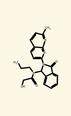 CCCN(C(=O)CO)C1c2ccccc2C(=O)N1c1ccc2ccc(C)nc2n1